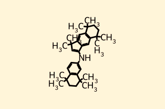 CC1(C)C=C(Nc2ccc3c(c2)C(C)(C)CCC3(C)C)c2cc3c(cc21)C(C)(C)CCC3(C)C